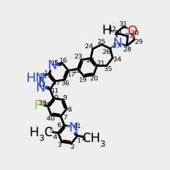 Cc1ccc(C)c(-c2ccc(-c3n[nH]c4ncc(-c5ccc6c(c5)CC[C@@H](N5C7COC[C@H]5C7)CC6)cc34)c(F)c2)n1